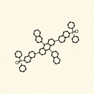 O=P(c1ccccc1)(c1ccccc1)c1ccc2cc(-c3ccc4c(-c5ccc6ccccc6c5)c5cc(-c6ccc7cc(P(=O)(c8ccccc8)c8ccccc8)ccc7c6)ccc5c(-c5ccc6ccccc6c5)c4c3)ccc2c1